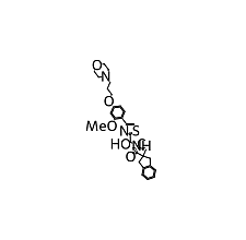 COc1cc(OCCCN2CCOCC2)ccc1-c1csc(CNC(=O)C2(CC(=O)O)Cc3ccccc3C2)n1